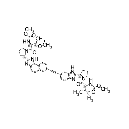 COC(=O)N[C@H](C(=O)N1CCC[C@H]1c1nc2ccc(C#Cc3ccc4c(ccc5nc([C@@H]6CCCN6C(=O)[C@@H](NC(=O)OC)[C@@H](C)OC)[nH]c54)c3)cc2[nH]1)C(C)C